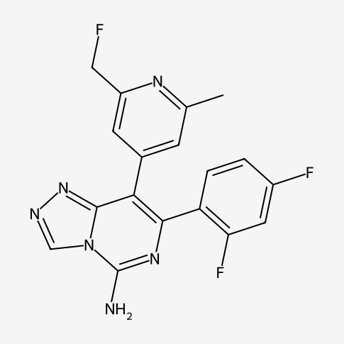 Cc1cc(-c2c(-c3ccc(F)cc3F)nc(N)n3cnnc23)cc(CF)n1